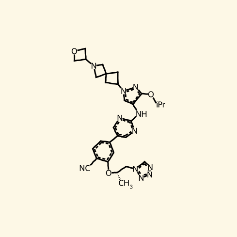 CC(C)Oc1nn(C2CC3(C2)CN(C2COC2)C3)cc1Nc1ncc(-c2ccc(C#N)c(O[C@@H](C)Cn3cnnn3)c2)cn1